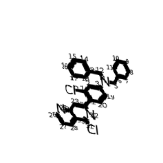 Clc1cc(N(Cc2ccccc2)Cc2ccccc2)ccc1-c1cc2ncccc2c(Cl)n1